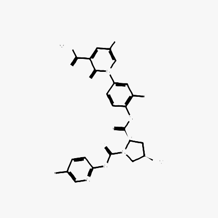 COC(=O)c1cc(Cl)cn(-c2ccc(NC(=O)[C@H]3C[C@@H](OC)CN3C(=O)Nc3ccc(Cl)cn3)c(F)c2)c1=O